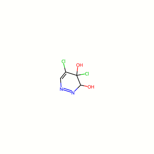 OC1N=NC=C(Cl)C1(O)Cl